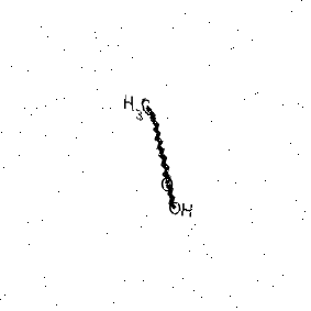 CCCCCCCCCCCCCCCCOCCCCO